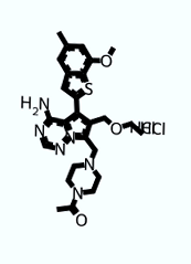 CCOCc1c(-c2cc3cc(C)cc(OC)c3s2)c2c(N)ncnn2c1CN1CCN(C(C)=O)CC1.Cl.Cl